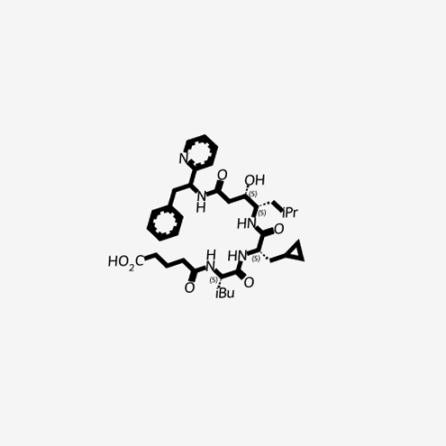 CCC(C)[C@H](NC(=O)CCCC(=O)O)C(=O)N[C@@H](CC1CC1)C(=O)N[C@@H](CC(C)C)[C@@H](O)CC(=O)NC(Cc1ccccc1)c1ccccn1